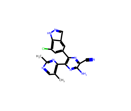 Cc1ncc(C)c(-c2nc(N)c(C#N)nc2-c2cc(Cl)c3[nH]ncc3c2)n1